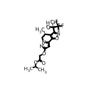 CC(C)OC(=O)COc1cc2n(n1)C[C@H](C)c1c([C@@](C)(O)C(F)(F)F)noc1-2